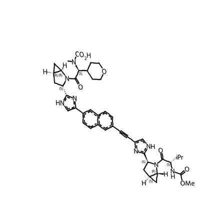 COC(=O)N[C@H](C(=O)N1[C@@H]2C[C@H]2C[C@H]1c1nc(C#Cc2ccc3cc(-c4c[nH]c([C@@H]5C[C@H]6C[C@H]6N5C(=O)[C@H](C5CCOCC5)N(C)C(=O)O)n4)ccc3c2)c[nH]1)C(C)C